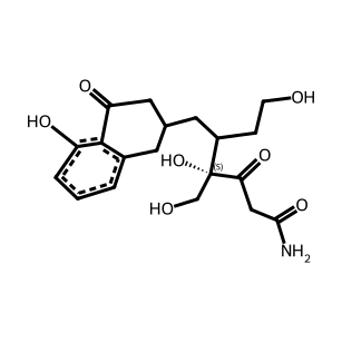 NC(=O)CC(=O)[C@@](O)(CO)C(CCO)CC1CC(=O)c2c(O)cccc2C1